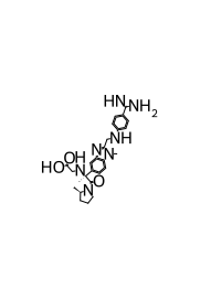 C[C@@H]1CCCN1C(=O)[C@@](C)(NCC(=O)O)c1ccc2c(c1)nc(CNc1ccc(C(=N)N)cc1)n2C